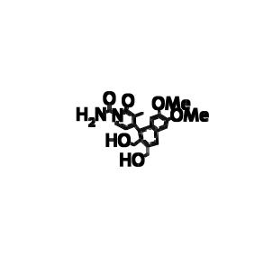 COc1cc2cc(CO)c(CO)c(-c3ccn(C(N)=O)c(=O)c3C)c2cc1OC